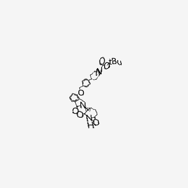 CC(C)(C)OC(=O)N1CCC(c2ccc(COc3cccc4c3CN([C@H]3CCCC(=O)NC3=O)C4=O)cc2)CC1